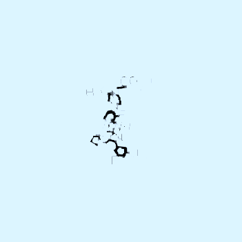 CCOC(=O)CCN1CCN(c2ccnc(Nc3nc(-c4cc(F)cc(C(F)(F)F)c4)c(CN4CCC[C@H]4C)s3)c2F)C[C@@H]1C